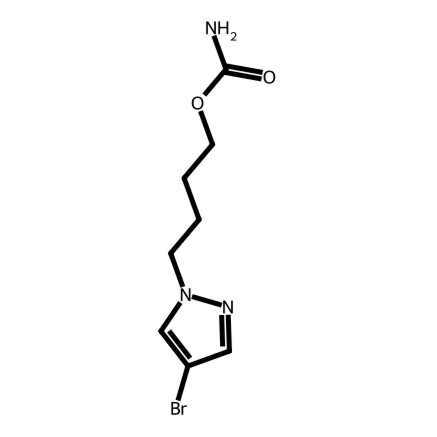 NC(=O)OCCCCn1cc(Br)cn1